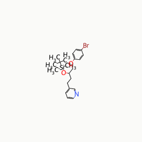 CC(C)(C)[Si](C)(C)OC(CCc1cccnc1)COc1ccc(Br)cc1